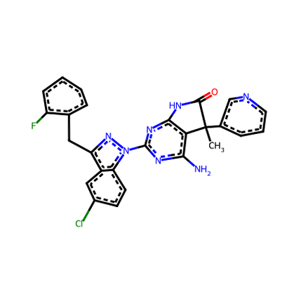 CC1(c2cccnc2)C(=O)Nc2nc(-n3nc(Cc4ccccc4F)c4cc(Cl)ccc43)nc(N)c21